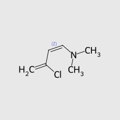 C=C(Cl)/C=C\N(C)C